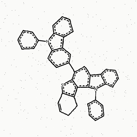 C1=Cc2sc3c(-c4ccc5c(c4)c4ccccc4n5-c4ccccc4)cc4c5ccccc5n(-c5ccccc5)c4c3c2CC1